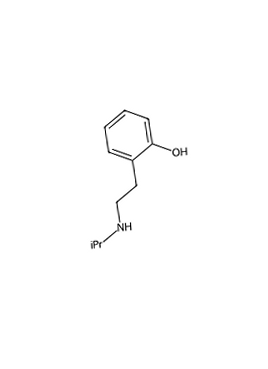 CC(C)NCCc1ccccc1O